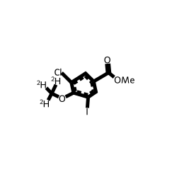 [2H]C([2H])([2H])Oc1c(Cl)cc(C(=O)OC)cc1I